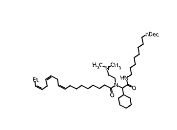 CC/C=C\C/C=C\C/C=C\CCCCCCCC(=O)N(CCN(C)C)C(C(=O)NCCCCCCCCCCCCCCCCCC)C1CCCCC1